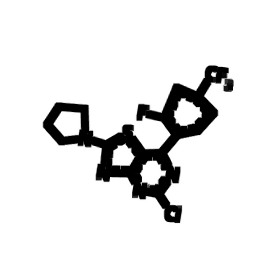 Fc1cc(C(F)(F)F)ccc1-c1nc(Cl)nc2nc(N3CCCC3)sc12